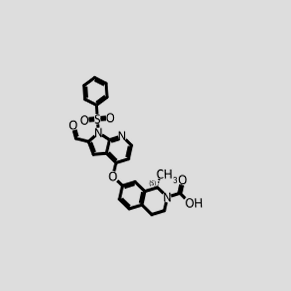 C[C@H]1c2cc(Oc3ccnc4c3cc(C=O)n4S(=O)(=O)c3ccccc3)ccc2CCN1C(=O)O